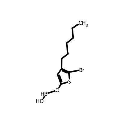 CCCCCCc1cc(OBO)sc1Br